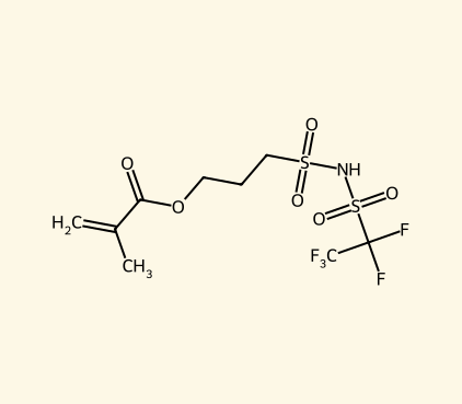 C=C(C)C(=O)OCCCS(=O)(=O)NS(=O)(=O)C(F)(F)C(F)(F)F